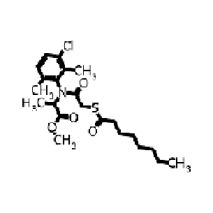 CCCCCCCC(=O)SCC(=O)N(c1c(C)ccc(Cl)c1C)C(C)C(=O)OC